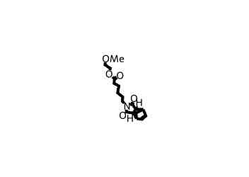 COCCOC(=O)CCCCCN1C(=O)[C@@H]2C3C=CC(C3)[C@@H]2C1=O